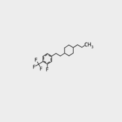 CCCC1CCC(CCc2ccc(C(F)(F)F)c(F)c2)CC1